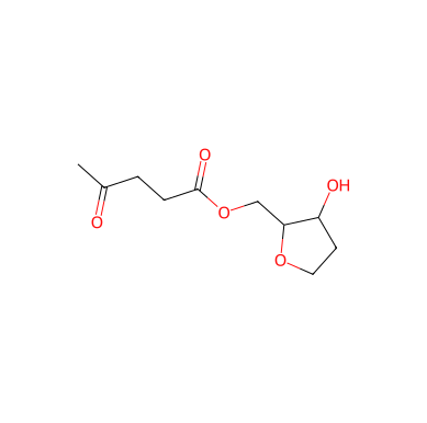 CC(=O)CCC(=O)OCC1OCCC1O